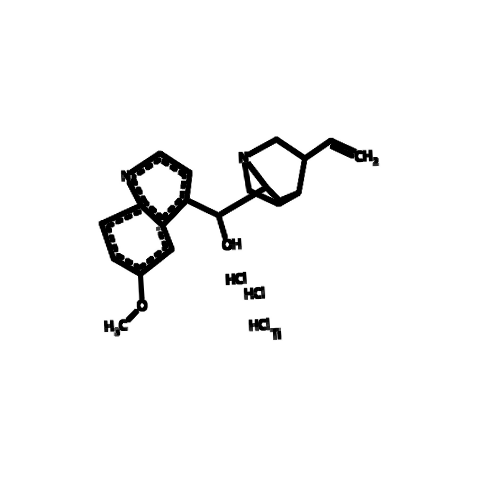 C=CC1CN2CCC1CC2C(O)c1ccnc2ccc(OC)cc12.Cl.Cl.Cl.[Ti]